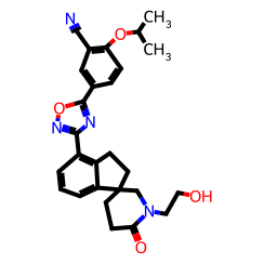 CC(C)Oc1ccc(-c2nc(-c3cccc4c3CCC43CCC(=O)N(CCO)C3)no2)cc1C#N